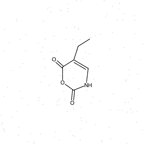 CCc1c[nH]c(=O)oc1=O